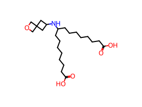 O=C(O)CCCCCCCC(CCCCCCCC(=O)O)NC1CC2(COC2)C1